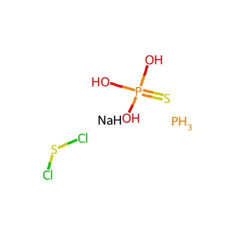 ClSCl.OP(O)(O)=S.P.[NaH]